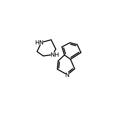 C1CNCCN1.c1ccc2cnccc2c1